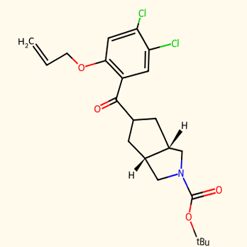 C=CCOc1cc(Cl)c(Cl)cc1C(=O)C1C[C@@H]2CN(C(=O)OC(C)(C)C)C[C@@H]2C1